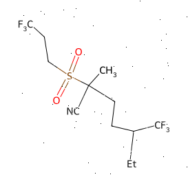 CCC(CCC(C)(C#N)S(=O)(=O)CCC(F)(F)F)C(F)(F)F